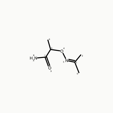 CC(C)=NOC(C)C(N)=O